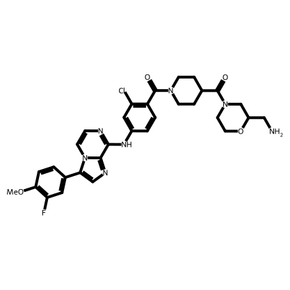 COc1ccc(-c2cnc3c(Nc4ccc(C(=O)N5CCC(C(=O)N6CCOC(CN)C6)CC5)c(Cl)c4)nccn23)cc1F